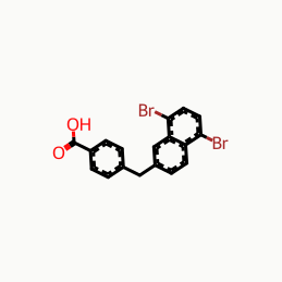 O=C(O)c1ccc(Cc2ccc3c(Br)ccc(Br)c3c2)cc1